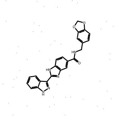 O=C(NCc1ccc2c(c1)OCO2)c1ccc2[nH]c(-c3n[nH]c4ccccc34)nc2c1